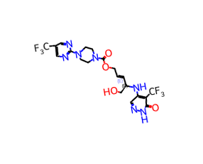 O=C(OC/C=C/[C@H](CO)Nc1cn[nH]c(=O)c1C(F)(F)F)N1CCN(c2ncc(C(F)(F)F)cn2)CC1